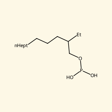 CCCCCCCCCCC(CC)COP(O)O